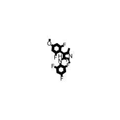 COc1cc(F)c(-c2c(C)nn(C)c2Nc2c(F)cc(F)cc2F)c(F)c1